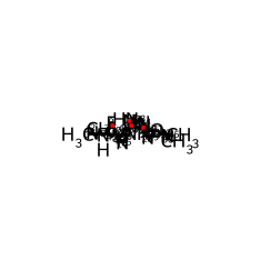 CN(C)CCNc1cc(F)cc(-c2cncc3[nH]c(-c4n[nH]c5cnc(-c6cncc(OCCN(C)C)c6)cc45)cc23)c1